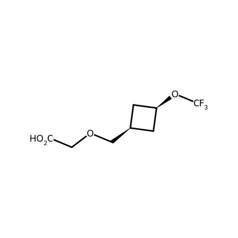 O=C(O)COC[C@H]1C[C@@H](OC(F)(F)F)C1